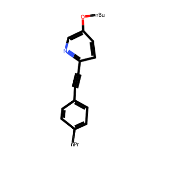 CCCCOc1ccc(C#Cc2ccc(CCC)cc2)nc1